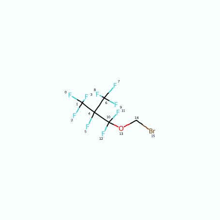 FC(F)(F)C(F)(C(F)(F)F)C(F)(F)OCBr